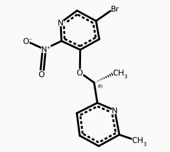 Cc1cccc([C@@H](C)Oc2cc(Br)cnc2[N+](=O)[O-])n1